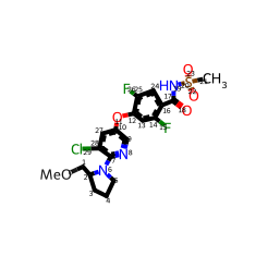 COCC1CCCN1c1ncc(Oc2cc(F)c(C(=O)NS(C)(=O)=O)cc2F)cc1Cl